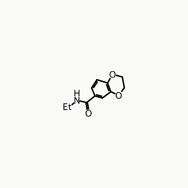 CCNC(=O)c1ccc2c(c1)OCCO2